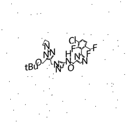 CC(C)(C)OCc1nc(N2CCC2)ncc1Cn1cc(NC(=O)c2cncc(-c3c(C(F)F)ccc(Cl)c3F)n2)cn1